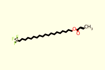 CC=CC(=O)OCCCCCCCCCCCCCCCCCCC[Si](F)(F)F